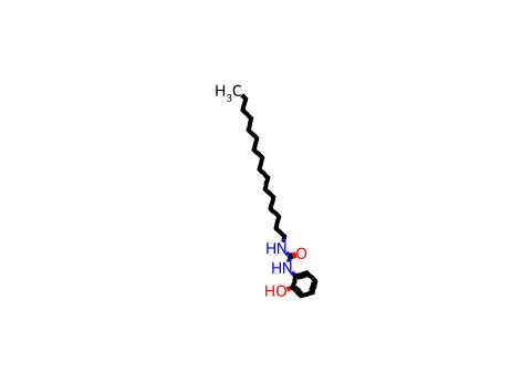 CCCCCCCCCCCCCCCCNC(=O)Nc1ccccc1O